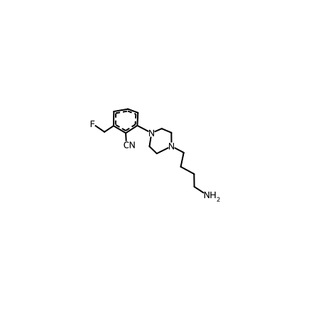 N#Cc1c(CF)cccc1N1CCN(CCCCN)CC1